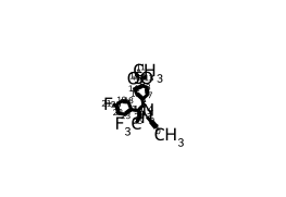 CC#Cn1nc(-c2ccc(S(C)(=O)=O)cc2)c(-c2ccc(F)cc2)c1C(F)(F)F